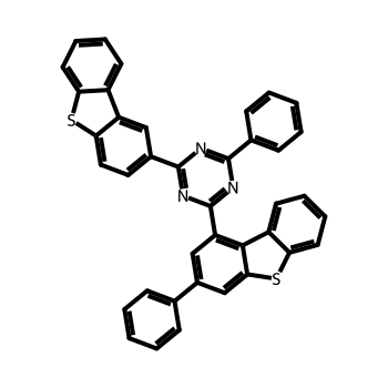 c1ccc(-c2cc(-c3nc(-c4ccccc4)nc(-c4ccc5sc6ccccc6c5c4)n3)c3c(c2)sc2ccccc23)cc1